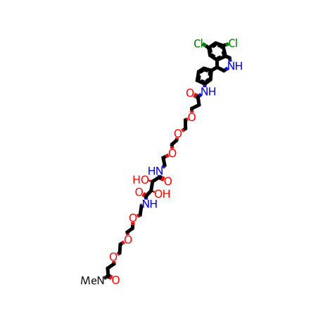 CNC(=O)CCOCCOCCOCCNC(=O)[C@H](O)[C@@H](O)C(=O)NCCOCCOCCOCCC(=O)Nc1cccc(C2CNCc3c(Cl)cc(Cl)cc32)c1